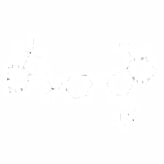 Cc1ccc2c(c1O)C[C@@H](C1CCN(C(=O)Oc3ccccc3C(F)(F)F)CC1)O[C@H]2CN